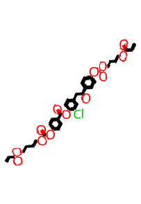 C=CC(=O)OCCCCOC(=O)Oc1ccc(C(=O)Cc2ccc(OC(=O)c3ccc(OC(=O)OCCCCOC(=O)C=C)cc3)c(Cl)c2)cc1